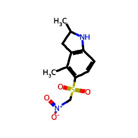 Cc1c(S(=O)(=O)C[N+](=O)[O-])ccc2c1CC(C)N2